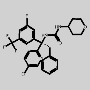 O=C(NC1CCOCC1)N[C@](Cc1ccccc1)(c1cc(F)cc(C(F)(F)F)c1)c1ccc(Cl)cn1